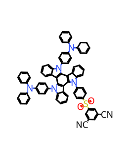 N#Cc1cc(C#N)cc(S(=O)(=O)c2ccc(-n3c4ccccc4c4c5c(c6ccccc6n5-c5ccc(N(C6=CC=CCC6)c6ccccc6)cc5)c5c(c6ccccc6n5-c5ccc(N(c6ccccc6)c6ccccc6)cc5)c43)cc2)c1